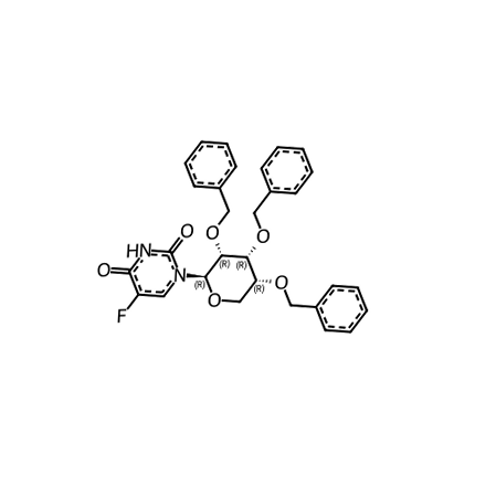 O=c1[nH]c(=O)n([C@@H]2OC[C@@H](OCc3ccccc3)[C@@H](OCc3ccccc3)[C@H]2OCc2ccccc2)cc1F